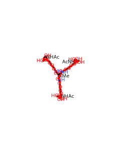 CNC(CCC(=O)NCCOCCOCCOCCOC1OC(CO)CC=C(O)C1NC(C)=O)(CCC(=O)NCCOCCOCCOCCOC1OC(CO)C(O)C(O)C1NC(C)=O)CCC(=O)NCCOCCOCCOCCOC1OC(CO)C(O)C(O)C1NC(C)=O